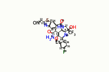 CCOc1c(CC(N)=O)cc([C@@](O)(CNC(=O)c2ccc3nc(CN=O)sc3c2)C(F)(F)F)nc1-c1ccc(F)cc1